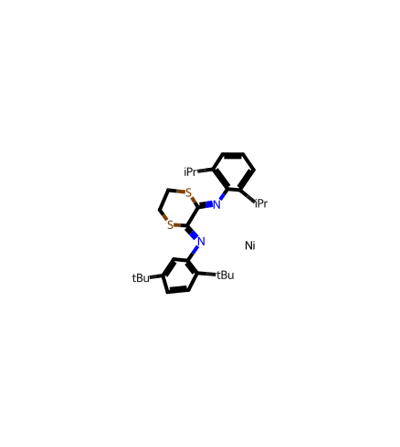 CC(C)c1cccc(C(C)C)c1N=C1SCCSC1=Nc1cc(C(C)(C)C)ccc1C(C)(C)C.[Ni]